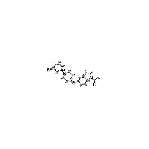 CC(=O)N1CCc2cc(SN3CCN(c4cccc(Br)c4)CC3)ccc21